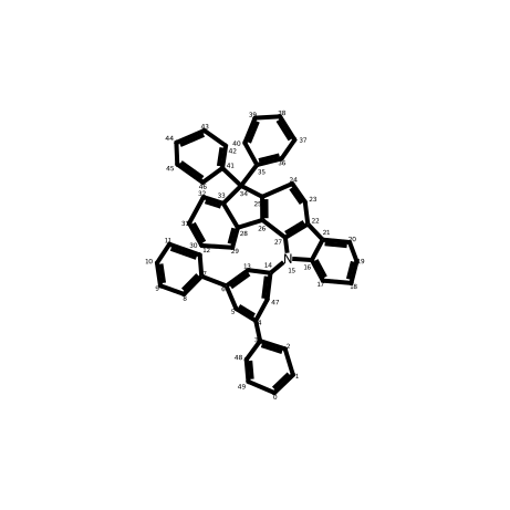 c1ccc(-c2cc(-c3ccccc3)cc(-n3c4ccccc4c4ccc5c(c43)-c3ccccc3C5(c3ccccc3)c3ccccc3)c2)cc1